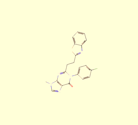 Cn1cnc2c(=O)n(-c3ccc(Cl)cc3)c(CCc3nc4ccccc4s3)nc21